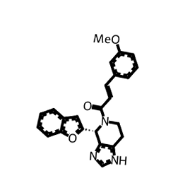 COc1cccc(/C=C/C(=O)N2CCc3[nH]cnc3[C@@H]2c2cc3ccccc3o2)c1